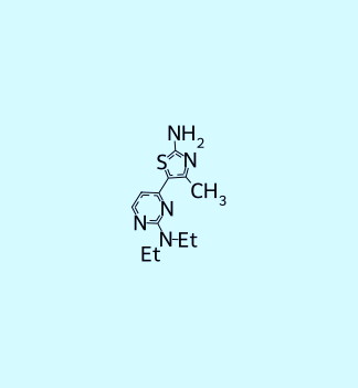 CCN(CC)c1nccc(-c2sc(N)nc2C)n1